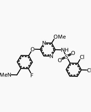 CNCc1ccc(Oc2cnc(NS(=O)(=O)c3cccc(Cl)c3Cl)c(OC)n2)cc1F